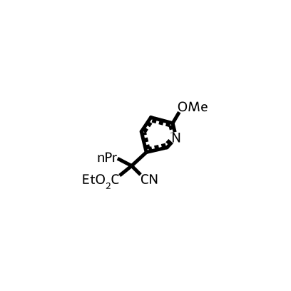 CCCC(C#N)(C(=O)OCC)c1ccc(OC)nc1